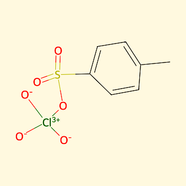 Cc1ccc(S(=O)(=O)O[Cl+3]([O-])([O-])[O-])cc1